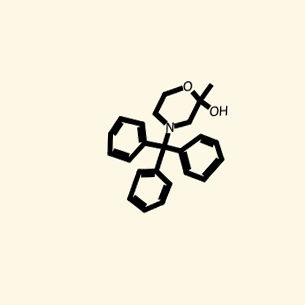 CC1(O)CN(C(c2ccccc2)(c2ccccc2)c2ccccc2)CCO1